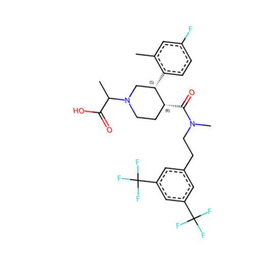 Cc1cc(F)ccc1[C@H]1CN(C(C)C(=O)O)CC[C@H]1C(=O)N(C)CCc1cc(C(F)(F)F)cc(C(F)(F)F)c1